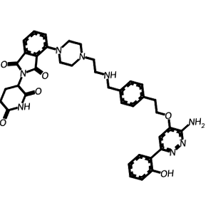 Nc1nnc(-c2ccccc2O)cc1OCCc1ccc(CNCCN2CCN(c3cccc4c3C(=O)N(C3CCC(=O)NC3=O)C4=O)CC2)cc1